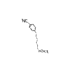 CCCCCCCCCCCCCCc1ccc(C#N)cc1